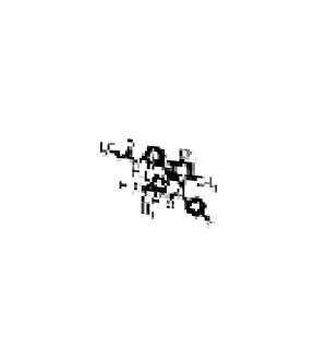 C=CC(=O)Nc1cccc(C#CCN(C(=O)[C@@H]2[C@@H]3[C@H](CN2c2nc(C)cc(C(F)(F)F)c2C#N)C3(C)C)c2ccc(F)cc2)n1